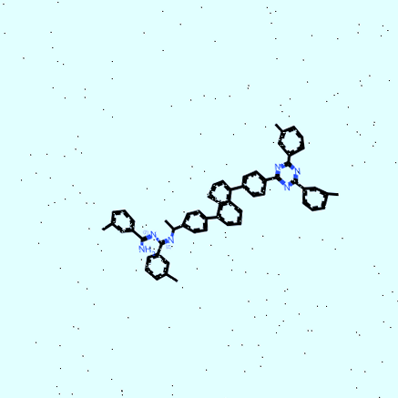 Cc1cccc(/C(N)=N/C(=N\C(C)c2ccc(-c3cccc4c(-c5ccc(-c6nc(-c7cccc(C)c7)nc(-c7cccc(C)c7)n6)cc5)cccc34)cc2)c2cccc(C)c2)c1